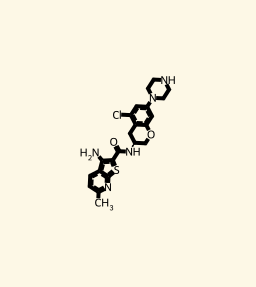 Cc1ccc2c(N)c(C(=O)N[C@H]3COc4cc(N5CCNCC5)cc(Cl)c4C3)sc2n1